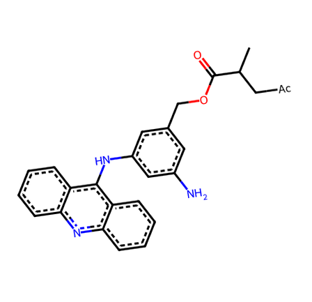 CC(=O)CC(C)C(=O)OCc1cc(N)cc(Nc2c3ccccc3nc3ccccc23)c1